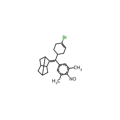 Cc1cc(C(=C2C3CC4CC3CC24)C2CC=C(Br)CC2)cc(C)c1N=O